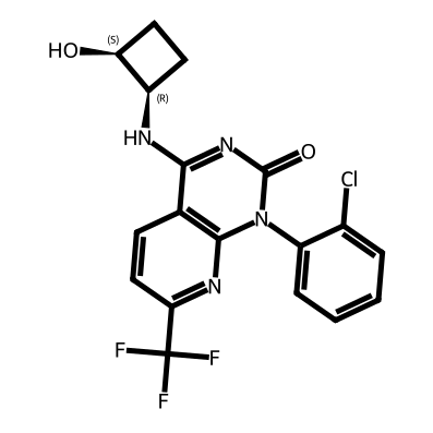 O=c1nc(N[C@@H]2CC[C@@H]2O)c2ccc(C(F)(F)F)nc2n1-c1ccccc1Cl